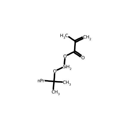 C=C(C)C(=O)O[SiH2]OC(C)(C)CCC